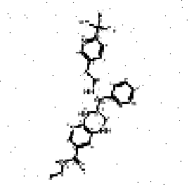 CCNC(=O)c1cnc2c(c1)NC[C@H]([C@H](NCCc1ccc(C(F)(F)F)nc1)c1ccccc1)N2